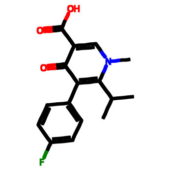 CC(C)c1c(-c2ccc(F)cc2)c(=O)c(C(=O)O)cn1C